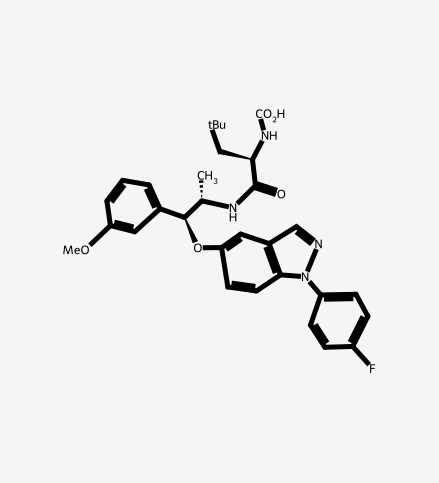 COc1cccc([C@H](Oc2ccc3c(cnn3-c3ccc(F)cc3)c2)[C@H](C)NC(=O)[C@@H](CC(C)(C)C)NC(=O)O)c1